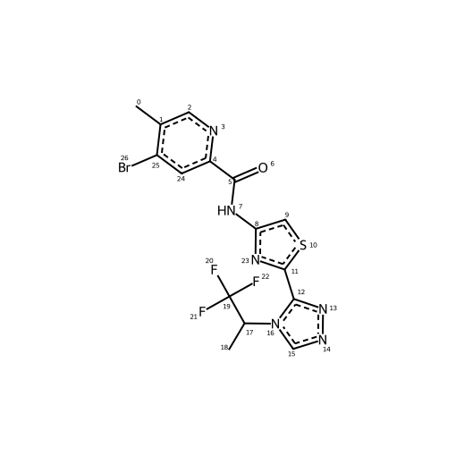 Cc1cnc(C(=O)Nc2csc(-c3nncn3C(C)C(F)(F)F)n2)cc1Br